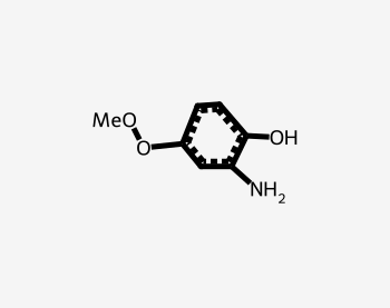 COOc1ccc(O)c(N)c1